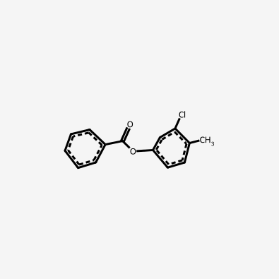 Cc1ccc(OC(=O)c2ccccc2)cc1Cl